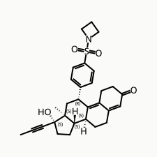 CC#C[C@]1(O)CC[C@H]2[C@@H]3CCC4=CC(=O)CCC4=C3[C@@H](c3ccc(S(=O)(=O)N4CCC4)cc3)C[C@@]21C